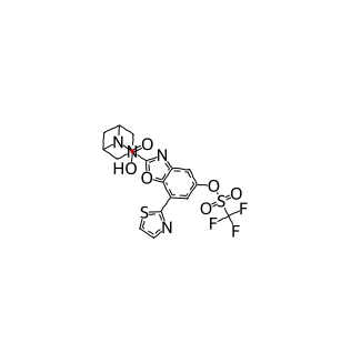 O=C(O)N1C2CC1CN(c1nc3cc(OS(=O)(=O)C(F)(F)F)cc(-c4nccs4)c3o1)C2